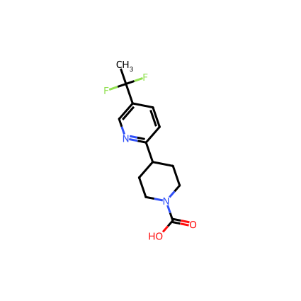 CC(F)(F)c1ccc(C2CCN(C(=O)O)CC2)nc1